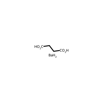 O=C(O)CCC(=O)O.[BaH2]